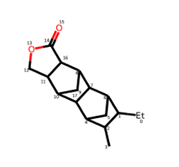 CCC1C(C)C2CC1C1C3CC(C4COC(=O)C43)C21